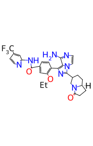 CCOc1cc(C(=O)Nc2cc(C(F)(F)F)ccn2)ccc1-c1nc(C2CC[C@H]3CCC(=O)N3C2)n2ccnc(N)c12